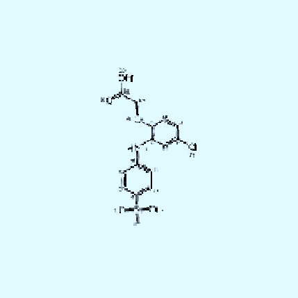 CS(=O)(=O)c1ccc(Nc2cc(Cl)ccc2OCC(=O)O)cc1